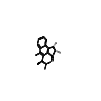 Cc1c([C@H](C)C(C)C)c2c(c3ccccc13)[C@H](C)[C@H](C)N2